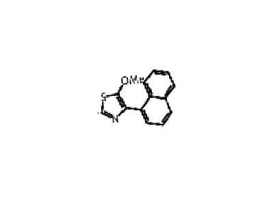 COc1s[c]nc1-c1cccc2ccccc12